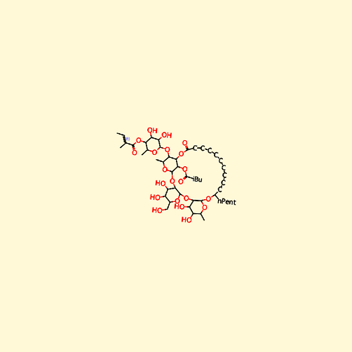 C/C=C(\C)C(=O)OC1C(C)OC(OC2C(C)OC3OC4C(OC(CO)C(O)C4O)OC4C(OC(CCCCC)CCCCCCCCCC(=O)OC2C3OC(=O)C(C)CC)OC(C)C(O)C4O)C(O)C1O